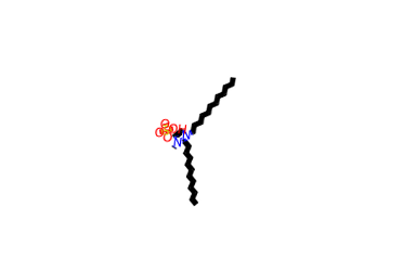 CCCCCCCCCCCCn1cc[n+](C)c1CCCCCCCCCCC.O=S(=O)([O-])O